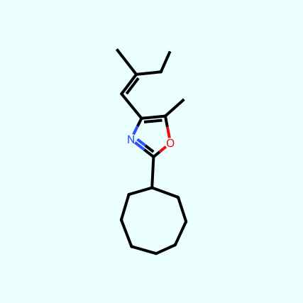 CC/C(C)=C\c1nc(C2CCCCCCC2)oc1C